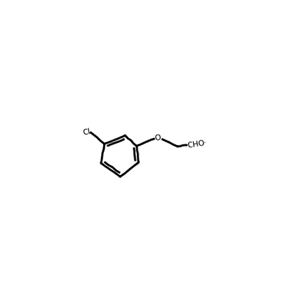 O=[C]COc1cccc(Cl)c1